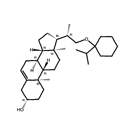 CC(C)C1(OC[C@@H](C)[C@H]2CC[C@H]3[C@@H]4CC=C5C[C@@H](O)CC[C@]5(C)[C@H]4CC[C@]23C)CCCCC1